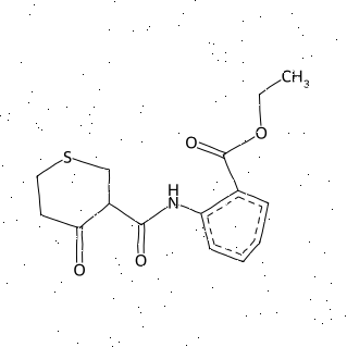 CCOC(=O)c1ccccc1NC(=O)C1CSCCC1=O